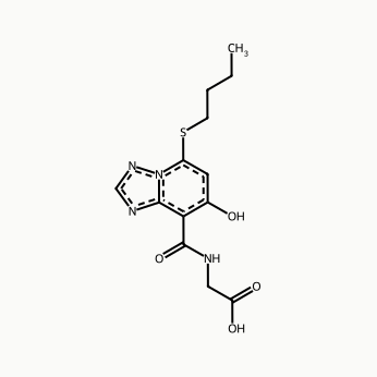 CCCCSc1cc(O)c(C(=O)NCC(=O)O)c2ncnn12